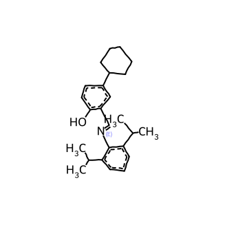 CC(C)c1cccc(C(C)C)c1/N=C/c1cc(C2CCCCC2)ccc1O